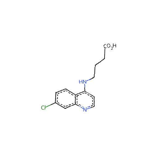 O=C(O)CCCNc1ccnc2cc(Cl)ccc12